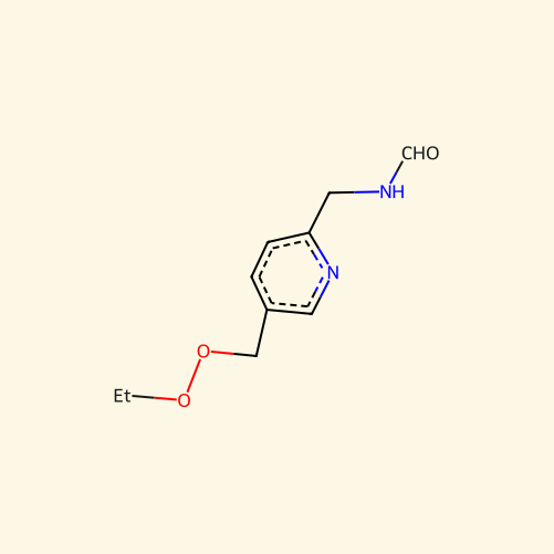 CCOOCc1ccc(CNC=O)nc1